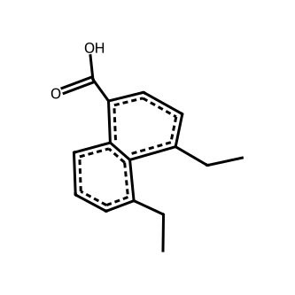 CCc1cccc2c(C(=O)O)ccc(CC)c12